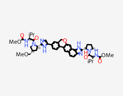 COC[C@H]1C[C@@H](c2ncc(-c3ccc4c(c3)COc3cc5c(ccc6nc([C@@H]7CC[C@H](C)N7C(O)[C@@H](NC(=O)OC)C(C)C)[nH]c65)cc3-4)[nH]2)N(C(=O)[C@@H](NC(=O)OC)C(C)C)C1